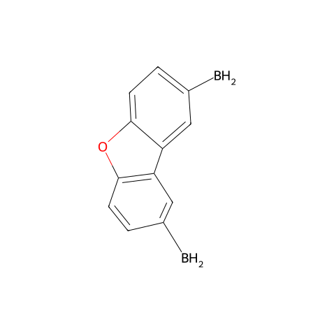 Bc1ccc2oc3ccc(B)cc3c2c1